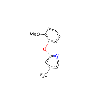 COc1ccccc1Oc1cc(C(F)(F)F)ccn1